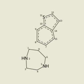 C1CNCCNC1.c1ccc2sccc2c1